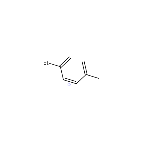 C=C(C)/C=C\C(=C)CC